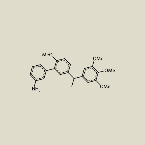 COc1ccc(C(C)c2cc(OC)c(OC)c(OC)c2)cc1-c1cccc(N)c1